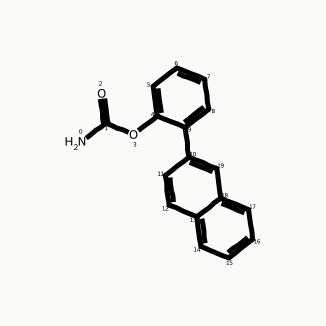 NC(=O)Oc1ccccc1-c1ccc2ccccc2c1